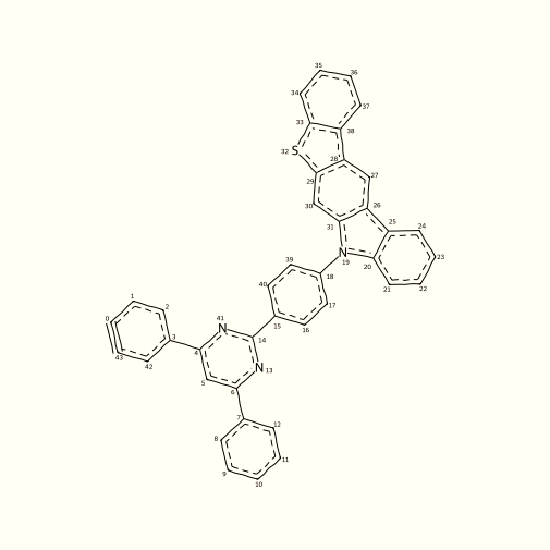 c1ccc(-c2cc(-c3ccccc3)nc(-c3ccc(-n4c5ccccc5c5cc6c(cc54)sc4ccccc46)cc3)n2)cc#1